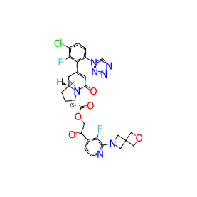 O=C(COC(=O)[C@@H]1CC[C@@H]2CC(c3c(-n4cnnn4)ccc(Cl)c3F)=CC(=O)N21)c1ccnc(N2CC3(COC3)C2)c1F